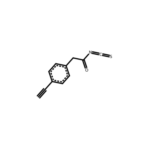 C#Cc1ccc(CC(=O)N=C=S)cc1